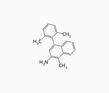 Cc1cccc(C)c1-c1cc(N)c(C)c2ccccc12